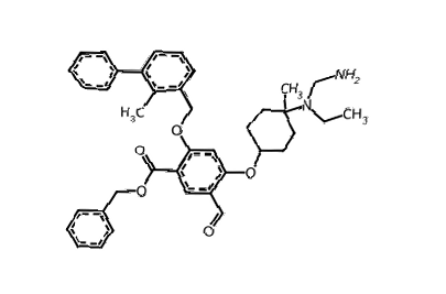 CCN(CN)C1(C)CCC(Oc2cc(OCc3cccc(-c4ccccc4)c3C)c(C(=O)OCc3ccccc3)cc2C=O)CC1